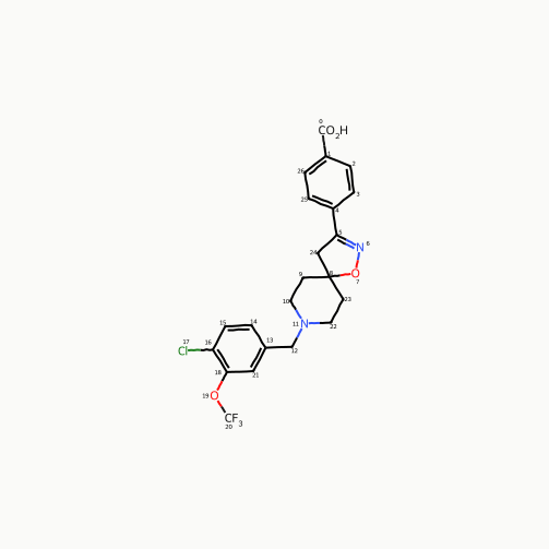 O=C(O)c1ccc(C2=NOC3(CCN(Cc4ccc(Cl)c(OC(F)(F)F)c4)CC3)C2)cc1